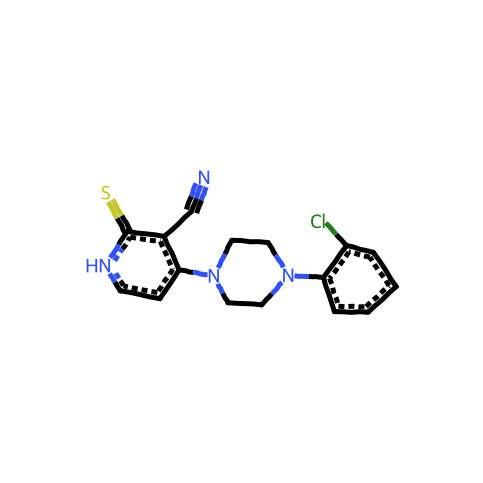 N#Cc1c(N2CCN(c3ccccc3Cl)CC2)cc[nH]c1=S